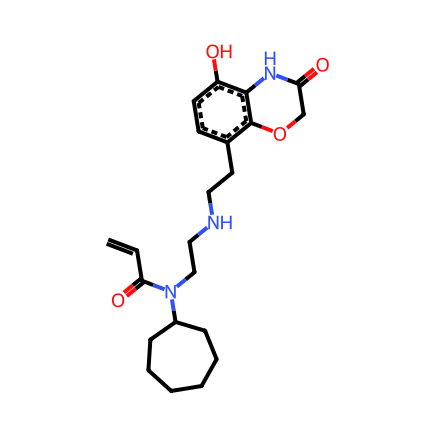 C=CC(=O)N(CCNCCc1ccc(O)c2c1OCC(=O)N2)C1CCCCCC1